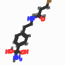 NC(O)(O)c1ccc(CCNC(=O)CCBr)cc1